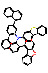 c1ccc(-c2ccc(-c3cccc4ccccc34)cc2N(c2ccc3c(c2)sc2ccccc23)c2ccccc2-c2cccc3oc4ccccc4c23)cc1